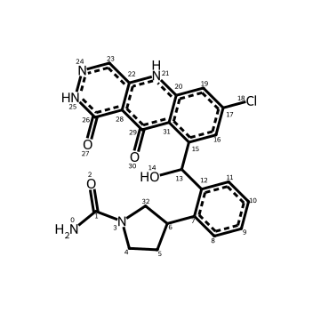 NC(=O)N1CCC(c2ccccc2C(O)c2cc(Cl)cc3[nH]c4cn[nH]c(=O)c4c(=O)c23)C1